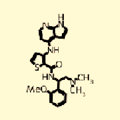 COc1ccccc1C(CN(C)C)NC(=O)c1sccc1Nc1ccnc2[nH]ccc12